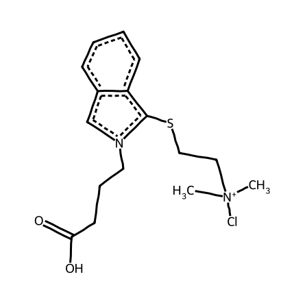 C[N+](C)(Cl)CCSc1c2ccccc2cn1CCCC(=O)O